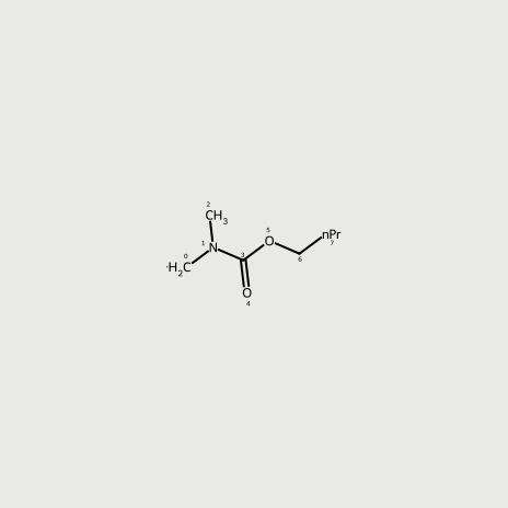 [CH2]N(C)C(=O)OCCCC